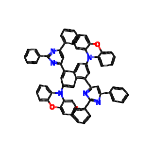 c1ccc(-c2cc(-c3cc(N4c5ccccc5Oc5ccccc54)cc4c(-c5cc(-c6ccccc6)nc(-c6ccccc6)n5)cc(N5c6ccccc6Oc6ccccc65)cc34)nc(-c3ccccc3)n2)cc1